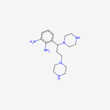 Nc1cccc(C(CCN2CCNCC2)N2CCNCC2)c1N